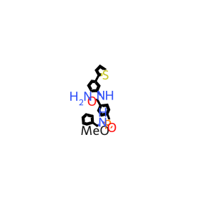 COP(=O)(Cc1ccc(C(=O)Nc2cc(-c3cccs3)ccc2N)cc1)NCc1ccccc1